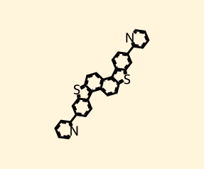 c1ccc(-c2ccc3c(c2)sc2ccc4c(ccc5sc6cc(-c7ccccn7)ccc6c54)c23)nc1